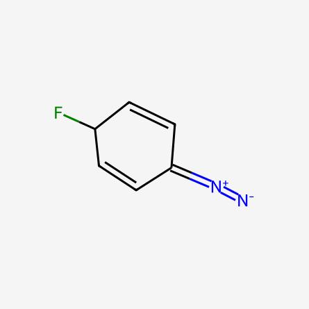 [N-]=[N+]=C1C=CC(F)C=C1